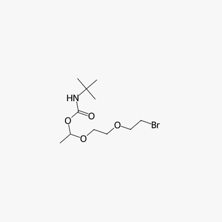 CC(OCCOCCBr)OC(=O)NC(C)(C)C